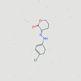 O=C1OCCC/C1=N\NC1=CC=C(Cl)CC1